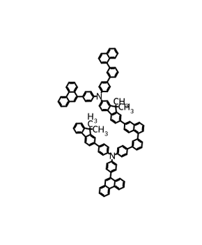 CC1(C)c2ccccc2-c2ccc(-c3ccc(N(c4ccc(-c5cccc(-c6cccc7cc(-c8ccc9c(c8)C(C)(C)c8cc(N(c%10ccc(-c%11cccc(-c%12cccc%13ccccc%12%13)c%11)cc%10)c%10ccc(-c%11cc%12ccccc%12c%12ccccc%11%12)cc%10)ccc8-9)ccc67)c5)cc4)c4ccc(-c5cc6ccccc6c6ccccc56)cc4)cc3)cc21